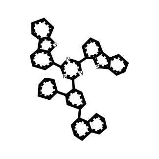 c1ccc(-c2cc(-c3cccc4ccccc34)ccc2-c2nc(-c3cccc4c3sc3ccccc34)nc(-c3cccc4c3sc3ccccc34)n2)cc1